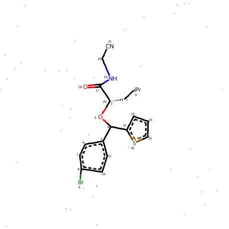 CC(C)C[C@H](OC(c1ccc(Br)cc1)c1cccs1)C(=O)NCC#N